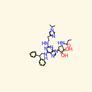 CCC(=O)NC1C[C@@H](n2cnc3c(NCC(c4ccccc4)c4ccccc4)nc(NCCc4cn(C(C)C)cn4)nc32)[C@H](O)[C@@H]1O